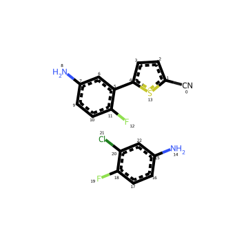 N#Cc1ccc(-c2cc(N)ccc2F)s1.Nc1ccc(F)c(Cl)c1